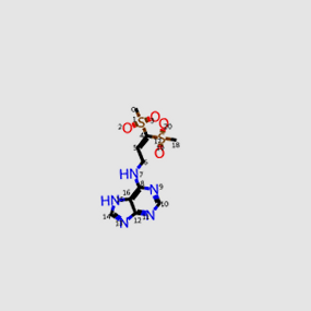 CS(=O)(=O)C(=CCNc1ncnc2nc[nH]c12)S(C)(=O)=O